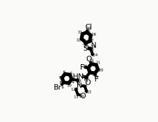 O=C(NC(c1cccc(Br)c1)N1CCOCC1)c1c(F)ccc(OCc2nc3cc(Cl)ccc3s2)c1F